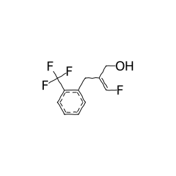 OCC(=CF)Cc1ccccc1C(F)(F)F